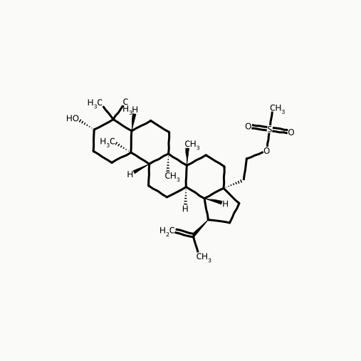 C=C(C)[C@@H]1CC[C@]2(CCOS(C)(=O)=O)CC[C@]3(C)[C@H](CC[C@@H]4[C@@]5(C)CC[C@H](O)C(C)(C)[C@@H]5CC[C@]43C)[C@@H]12